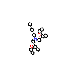 c1ccc(-c2ccc(-c3ccc(N(c4cccc(-c5cc6ccccc6c6c5oc5ccc7ccccc7c56)c4)c4cccc(-c5cc6ccccc6c6c5oc5ccc7ccccc7c56)c4)cc3)cc2)cc1